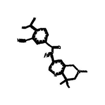 CC(C)c1ccc(C(=O)Nc2cnc3c(c2)CN(C)CC3(C)C)cc1C#N